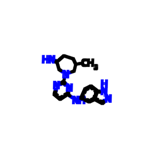 CC1CCC(=N)CN(c2nccc(Nc3ccc4[nH]ncc4c3)n2)C1